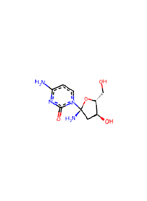 Nc1ccn([C@@]2(N)C[C@H](O)[C@@H](CO)O2)c(=O)n1